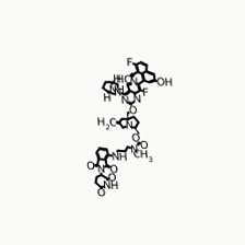 C#Cc1c(F)ccc2cc(O)cc(-c3ncc4c(N5C[C@H]6CC[C@@H](C5)N6)nc(OC[C@@]56CC[C@@H](COC(=O)N(C)CCCNc7cccc8c7C(=O)N(C7CCC(=O)NC7=O)C8=O)N5CC(=C)C6)nc4c3F)c12